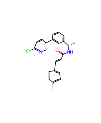 C[C@H](NC(=O)C=Cc1ccc(F)cc1)c1cccc(-c2ccc(Cl)nc2)c1